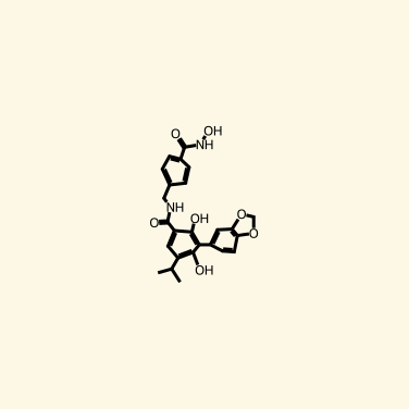 CC(C)c1cc(C(=O)NCc2ccc(C(=O)NO)cc2)c(O)c(-c2ccc3c(c2)OCO3)c1O